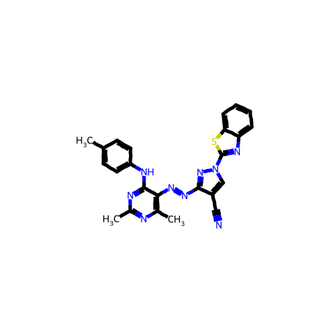 Cc1ccc(Nc2nc(C)nc(C)c2N=Nc2nn(-c3nc4ccccc4s3)cc2C#N)cc1